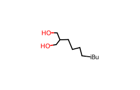 CCC(C)CCCCC(CO)CO